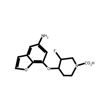 Nc1cc(OC2CCN(C(=O)O)CC2F)c2occc2c1